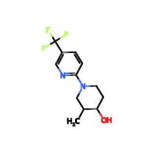 CC1CN(c2ccc(C(F)(F)F)cn2)CCC1O